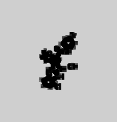 CC1(C)Cc2c3c(cc(C(=O)Nc4ccc(Br)cc4)c2O1)NC(Nc1c(Cl)cccc1Cl)N3.Cl